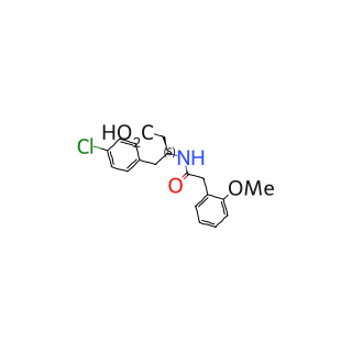 COc1ccccc1CC(=O)N[C@H](CC(=O)O)Cc1ccc(Cl)cc1